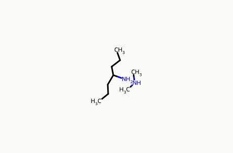 CCCC(N)CCC.CNC